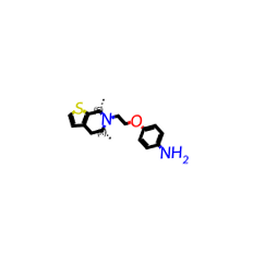 C[C@@H]1Cc2ccsc2[C@H](C)N1CCOc1ccc(N)cc1